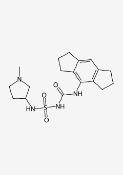 CN1CCC(NS(=O)(=O)NC(=O)Nc2c3c(cc4c2CCC4)CCC3)C1